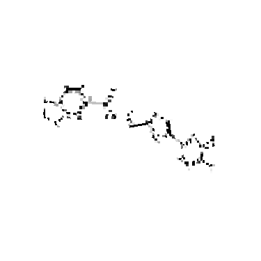 O=C(N/N=C/c1ccc(-c2ccc(Cl)c(Cl)c2)o1)c1ccc2c(c1)OCO2